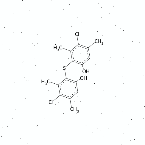 Cc1cc(O)c(Sc2c(O)cc(C)c(Cl)c2C)c(C)c1Cl